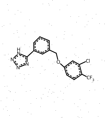 FC(F)(F)c1ccc(OCc2cccc(-c3nnn[nH]3)c2)cc1Cl